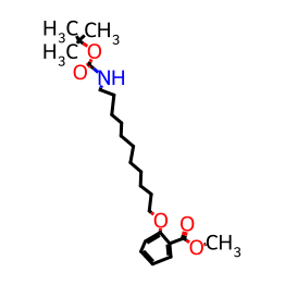 COC(=O)c1ccccc1OCCCCCCCCCCCNC(=O)OC(C)(C)C